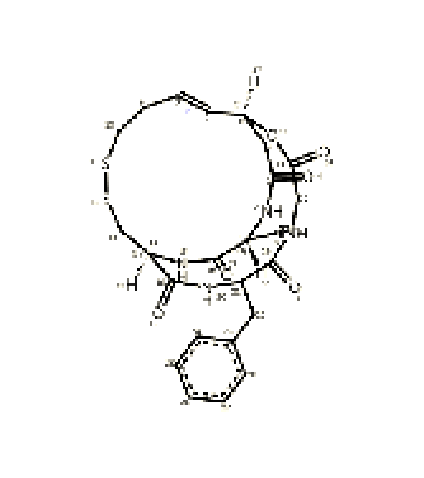 CC(C)[C@H]1NC(=O)C[C@H]2/C=C/CCSSC[C@@H](NC1=O)C(=O)NC(Cc1ccccc1)C(=O)NCC(=O)O2